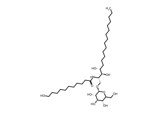 CCCCCCCCCCCCCC[C@@H](O)[C@@H](O)[C@H](CO[C@H]1OC(CO)[C@H](O)[C@@H](O)[C@@H]1O)NC(=O)CCCCCCCCCCO